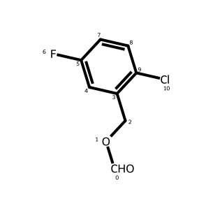 O=COCc1cc(F)ccc1Cl